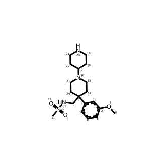 COc1cccc(C2(CNS(C)(=O)=O)CCN(C3CCNCC3)CC2)c1